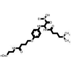 CCCCCCCCCCCCNC(=O)CCCOc1ccc(NC(NC(=O)CCCN(C)C)C(=O)N(O)CC)cc1